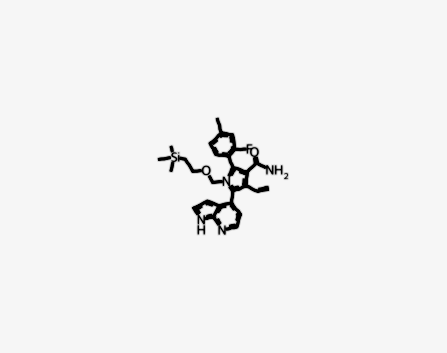 C=Cc1c(C(N)=O)c(-c2ccc(C)cc2F)n(COCC[Si](C)(C)C)c1-c1ccnc2[nH]ccc12